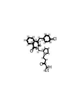 CCNC(=O)CCN1CCC[C@@H]1Cn1nc(Cc2ccc(Cl)cc2)c2ccccc2c1=O